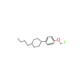 CCCCC1CCC(c2ccc(OCF)cc2)CC1